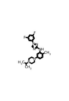 Cc1ccc(N2CCN(C(C)C)CC2)cc1Nc1ncn(-c2cc(F)cc(F)c2)n1